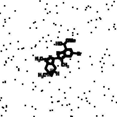 COC(O)c1cc(Br)cc2c1nc(-c1nn(C)c3c1C[C@@H]1C[C@]1(C)C3)n2C